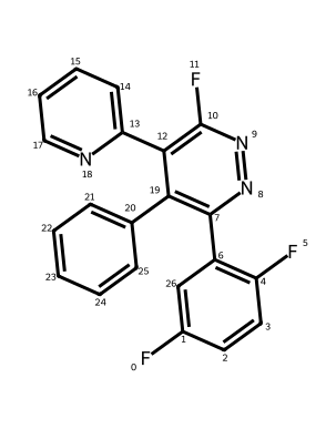 Fc1ccc(F)c(-c2nnc(F)c(-c3ccccn3)c2-c2ccccc2)c1